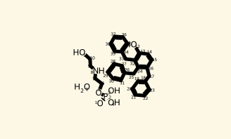 O.O=P(O)(O)OCCNCCO.Oc1ccc(Cc2ccccc2)c(Cc2ccccc2)c1Cc1ccccc1